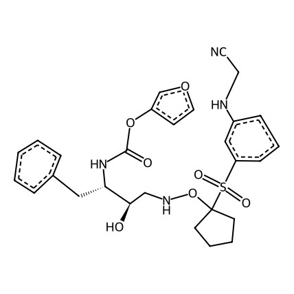 N#CCNc1cccc(S(=O)(=O)C2(ONC[C@@H](O)[C@H](Cc3ccccc3)NC(=O)Oc3ccoc3)CCCC2)c1